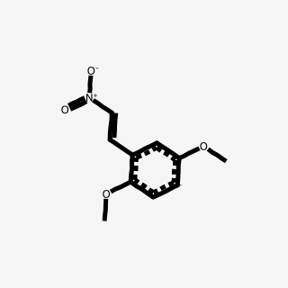 COc1[c]cc(OC)c(C=C[N+](=O)[O-])c1